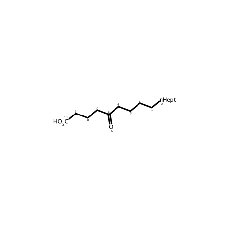 CCCCCCCCCCCC(=O)CCCC(=O)O